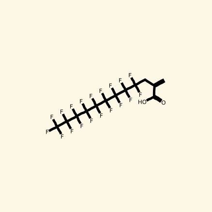 C=C(CC(F)(F)C(F)(F)C(F)(F)C(F)(F)C(F)(F)C(F)(F)C(F)(F)C(F)(F)C(F)(F)F)C(=O)O